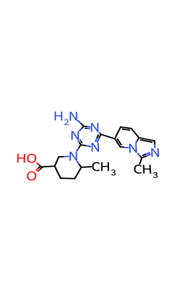 Cc1ncc2ccc(-c3nc(N)nc(N4CC(C(=O)O)CCC4C)n3)cn12